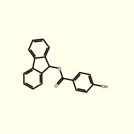 O=C(OC1c2ccccc2-c2ccccc21)c1ccc(O)cc1